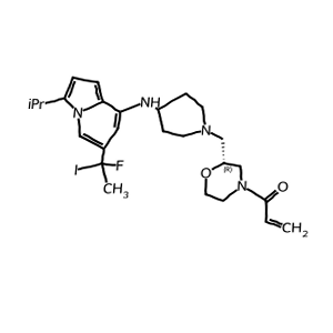 C=CC(=O)N1CCO[C@H](CN2CCC(Nc3cc(C(C)(F)I)cn4c(C(C)C)ccc34)CC2)C1